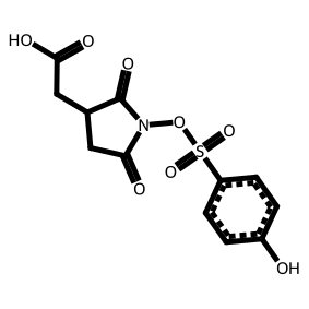 O=C(O)CC1CC(=O)N(OS(=O)(=O)c2ccc(O)cc2)C1=O